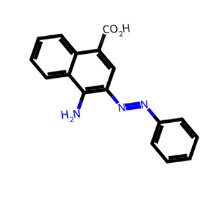 Nc1c(/N=N/c2ccccc2)cc(C(=O)O)c2ccccc12